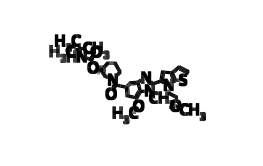 COCCn1c(-c2nc3cc(C(=O)N4CCC[C@@H](OC(=O)NC(C)(C)C)C4)cc(OC)c3n2C)cc2ccsc21